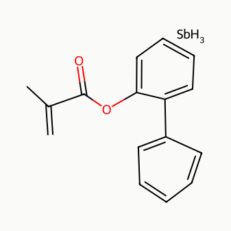 C=C(C)C(=O)Oc1ccccc1-c1ccccc1.[SbH3]